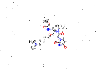 CCOC(=O)CN(C(=O)Cn1ccc(=O)[nH]c1=O)C(CNC(=O)OC(C)(C)C)COCCCCCN(C)C